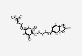 Cc1nc2ccc(OCCCOc3c(Cl)cc(OCC=C(Cl)Cl)cc3Cl)cc2o1